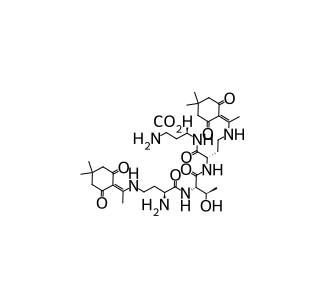 CC(NCC[C@H](NC(=O)[C@@H](NC(=O)[C@@H](N)CCNC(C)=C1C(=O)CC(C)(C)CC1=O)[C@@H](C)O)C(=O)N[C@@H](CCN)C(=O)O)=C1C(=O)CC(C)(C)CC1=O